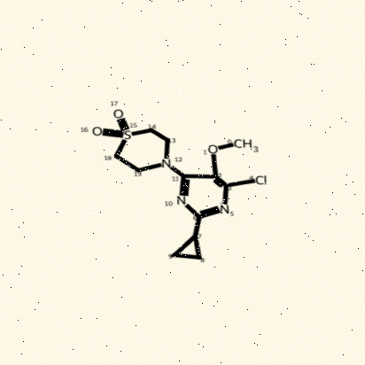 COc1c(Cl)nc(C2CC2)nc1N1CCS(=O)(=O)CC1